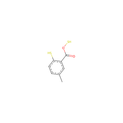 Cc1ccc(S)c(C(=O)OS)c1